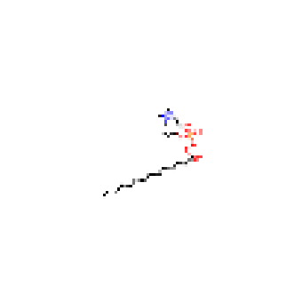 CCCCCCCCCCCCCC(=O)OOP(=O)(OCCC)OCC[N+](C)(C)C